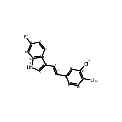 Fc1ccc2c(/C=C/c3ccc(Cl)c(Cl)c3)c[nH]c2c1